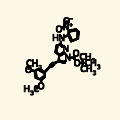 COc1cc(C#Cc2cn(C(=O)OC(C)(C)C)c3nc(Nc4ccccc4[N+](=O)[O-])ccc23)cc(OC)c1